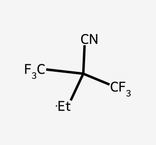 C[CH]C(C#N)(C(F)(F)F)C(F)(F)F